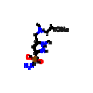 COCCN(C)Cc1cc(S(N)(=O)=O)nn1C